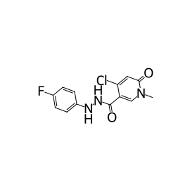 Cn1cc(C(=O)NNc2ccc(F)cc2)c(Cl)cc1=O